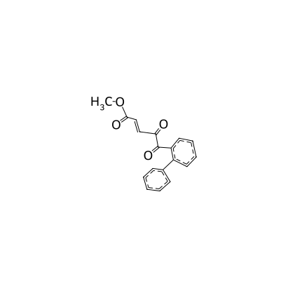 COC(=O)/C=C/C(=O)C(=O)c1ccccc1-c1ccccc1